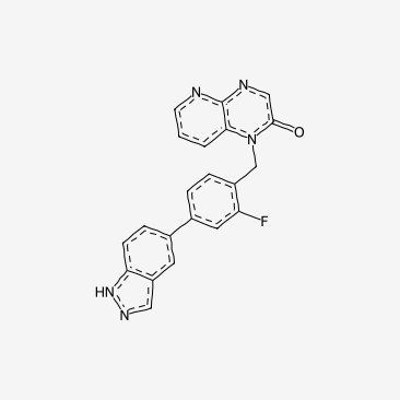 O=c1cnc2ncccc2n1Cc1ccc(-c2ccc3[nH]ncc3c2)cc1F